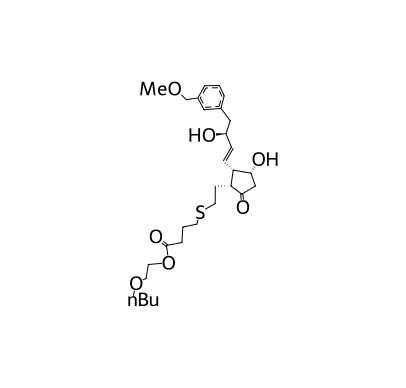 CCCCOCCOC(=O)CCCSCC[C@H]1C(=O)C[C@@H](O)[C@H]1/C=C/[C@@H](O)Cc1cccc(COC)c1